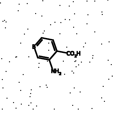 Nc1cbccc1C(=O)O